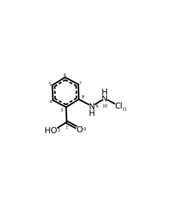 O=C(O)c1ccccc1NNCl